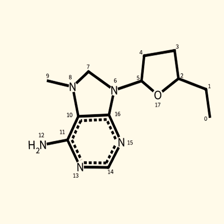 CCC1CCC(N2CN(C)c3c(N)ncnc32)O1